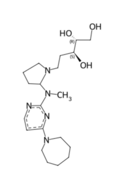 CN(c1nccc(N2CCCCCC2)n1)C1CCCN1CC[C@H](O)[C@H](O)CO